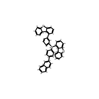 c1cc(-c2cccc3sc4ccccc4c23)cc(N(c2ccc(-c3ccc4ccccc4c3)cc2)c2cccc3oc4ccccc4c23)c1